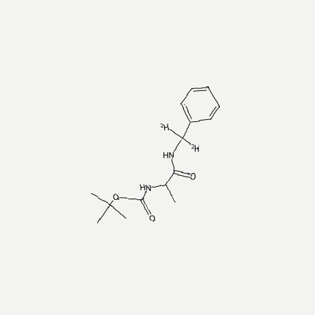 [2H]C([2H])(NC(=O)C(C)NC(=O)OC(C)(C)C)c1ccccc1